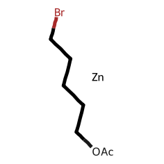 CC(=O)OCCCCCBr.[Zn]